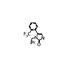 CC(C)CN1C(=O)[N]C=C1c1ccccc1C(F)(F)F